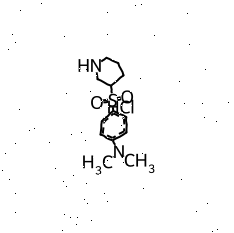 CN(C)c1ccc(S(=O)(=O)C2CCCNC2)cc1.Cl